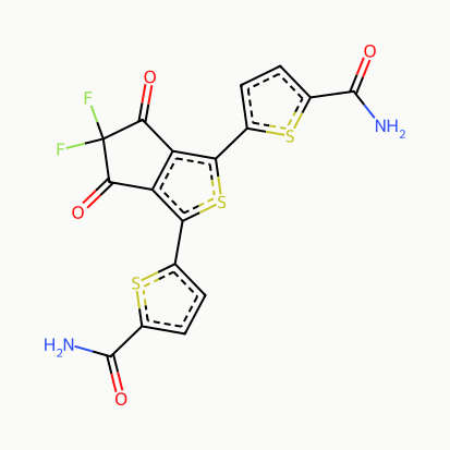 NC(=O)c1ccc(-c2sc(-c3ccc(C(N)=O)s3)c3c2C(=O)C(F)(F)C3=O)s1